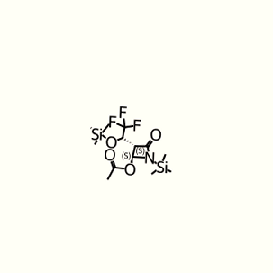 CC(=O)O[C@H]1[C@H](C(O[Si](C)(C)C)C(F)(F)F)C(=O)N1[Si](C)(C)C